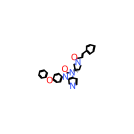 O=C(C=Cc1ccccc1)N1CC[C@@H](n2c(=O)n(-c3ccc(Oc4ccccc4)cc3)c3cnccc32)C1